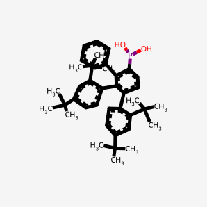 CC(C)(C)c1ccc(-c2ccc(P(O)O)c(-c3ccccc3)c2-c2ccc(C(C)(C)C)cc2C(C)(C)C)c(C(C)(C)C)c1